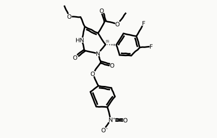 COCC1=C(C(=O)OC)[C@H](c2ccc(F)c(F)c2)N(C(=O)Oc2ccc([N+](=O)[O-])cc2)C(=O)N1